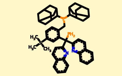 C[Si](C)(C)c1ccc(CP(C2C3CC4CC(C3)CC2C4)C2C3CC4CC(C3)CC2C4)c(C(P)(c2ccc3ccccc3n2)c2ccc3ccccc3n2)c1